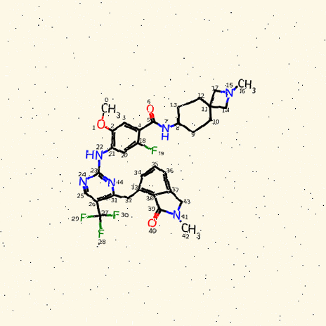 COc1cc(C(=O)NC2CCC3(CC2)CN(C)C3)c(F)cc1Nc1ncc(C(F)(F)F)c(Cc2cccc3c2C(=O)N(C)C3)n1